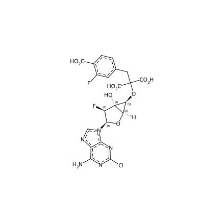 Nc1nc(Cl)nc2c1ncn2[C@@H]1O[C@@H]2[C@H](OC(Cc3ccc(C(=O)O)c(F)c3)(C(=O)O)C(=O)O)[C@]2(O)[C@@H]1F